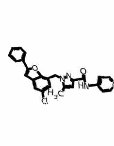 Cc1cc(C(=O)Nc2ccncc2)nn1Cc1cc(Cl)cc2cc(-c3ccccc3)oc12